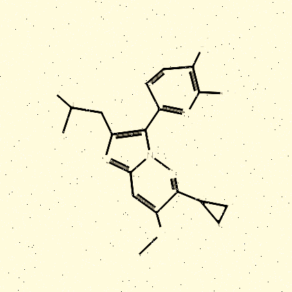 COc1cc2nc(CC(C)O)c(-c3ccc(F)c(Cl)n3)n2nc1C1CC1